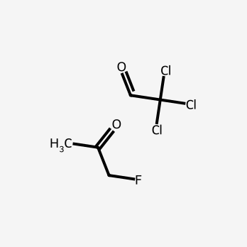 CC(=O)CF.O=CC(Cl)(Cl)Cl